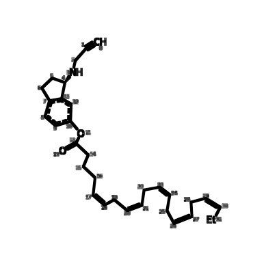 C#CCN[C@@H]1CCc2ccc(OC(=O)CCC/C=C\C/C=C\C/C=C\C/C=C\C/C=C\CC)cc21